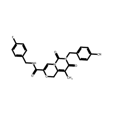 Cc1c2n(c(=O)n(Cc3ccc(C#N)cc3)c1=O)C=C(C(=O)NCc1ccc(F)cc1)OC2